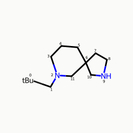 CC(C)(C)CN1CCCC2(CCNC2)C1